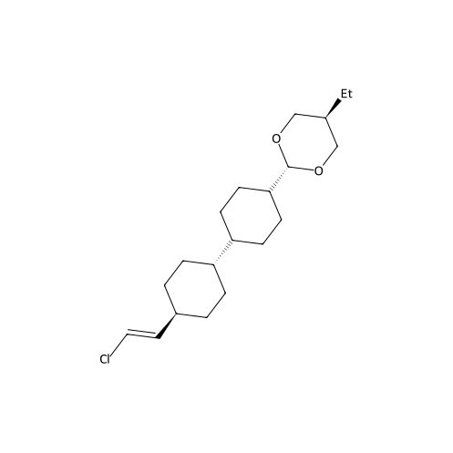 CC[C@H]1CO[C@H](C2CCC([C@H]3CC[C@H](/C=C/Cl)CC3)CC2)OC1